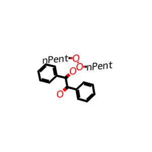 CCCCCOOCCCCC.O=C(C(=O)c1ccccc1)c1ccccc1